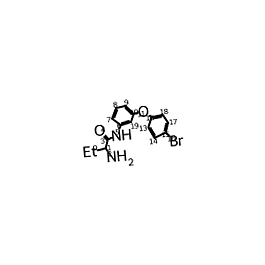 CCC(N)C(=O)Nc1cccc(Oc2ccc(Br)cc2)c1